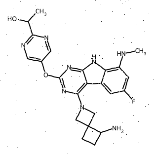 CNc1cc(F)cc2c1[nH]c1nc(Oc3cnc(C(C)O)nc3)nc(N3CC4(CCC4N)C3)c12